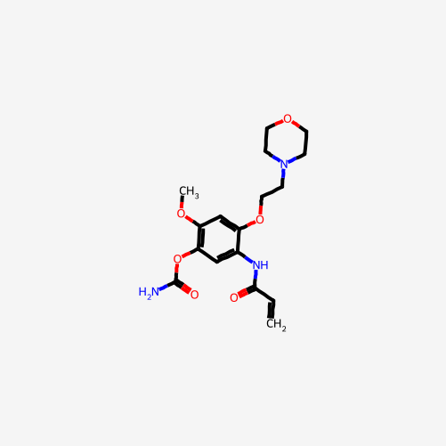 C=CC(=O)Nc1cc(OC(N)=O)c(OC)cc1OCCN1CCOCC1